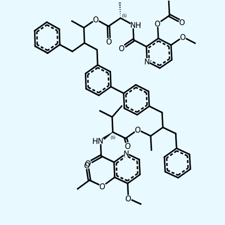 COc1ccnc(C(=O)N[C@@H](C)C(=O)OC(C)C(Cc2ccccc2)Cc2cccc(-c3ccc(CC(Cc4ccccc4)C(C)OC(=O)[C@@H](NC(=O)c4nccc(OC)c4OC(C)=O)C(C)C)cc3)c2)c1OC(C)=O